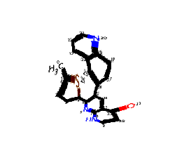 Cc1ccc(-c2nc3[nH]ccc(=O)c3cc2-c2ccc3ncccc3c2)s1